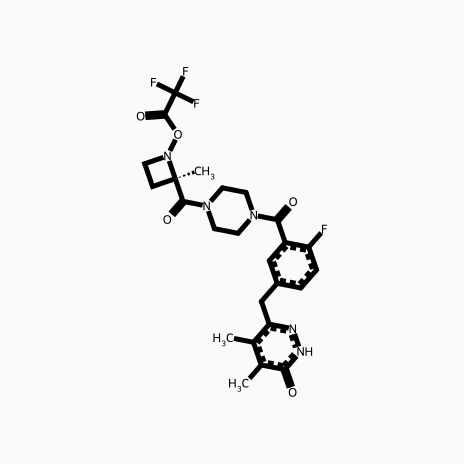 Cc1c(Cc2ccc(F)c(C(=O)N3CCN(C(=O)[C@@]4(C)CCN4OC(=O)C(F)(F)F)CC3)c2)n[nH]c(=O)c1C